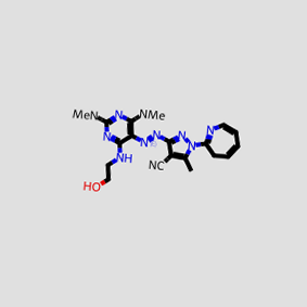 CNc1nc(NC)c(/N=N/c2nn(C3=NC=CC=CC3)c(C)c2C#N)c(NCCO)n1